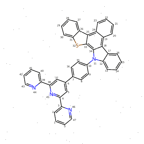 c1ccc(-c2cc(-c3ccc(-n4c5ccccc5c5c6ccccc6c6c7ccccc7sc6c54)cc3)cc(-c3ccccn3)n2)nc1